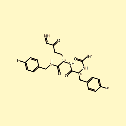 CC(C)C(=O)N[C@@H](Cc1ccc(F)cc1)C(=O)N[C@@H](CCC(=O)C=N)C(=O)NCc1ccc(F)cc1